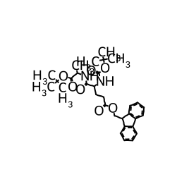 CC(NC(=O)C(CCC(=O)OCC1c2ccccc2-c2ccccc21)NC(=O)OC(C)(C)C)C(=O)OC(C)(C)C